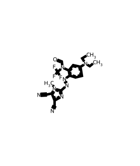 CCN(CC)c1ccc(N=Nc2nc(C#N)c(C#N)n2C)c(N(C=O)C(F)(F)F)c1